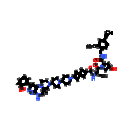 C#Cc1ccc(CNC(=O)[C@@H]2C[C@@H](O)CN2C(=O)[C@@H](NC(=O)[C@H]2CC3(C2)C[C@H](N2CCC(N4CCC(N5CCN6c7cc(-c8ccccc8O)nnc7NC[C@H]6C5)CC4)CC2)C3)C(C)(C)C)c(OC)c1